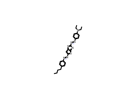 CCCCc1ccc(/N=N/c2cc3sc(/N=N/c4ccc(N(CC)CC)cc4)nc3s2)cc1